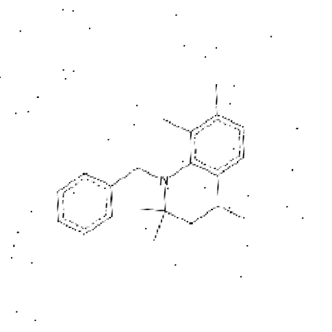 Cc1ccc2c(c1C)N(Cc1ccccc1)C(C)(C)CC2C